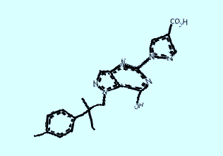 Cc1ccc(C(C)(C)Cn2ncc3nc(-n4cc(C(=O)O)cn4)nc(O)c32)cc1